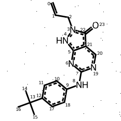 C=CCn1[nH]c2nc(Nc3ccc(C(C)(C)C)cc3)ncc2c1=O